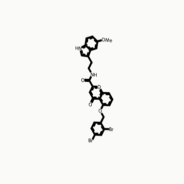 COc1ccc2[nH]cc(CCNC(=O)c3cc(=O)c4c(OCc5ccc(Br)cc5Br)cccc4o3)c2c1